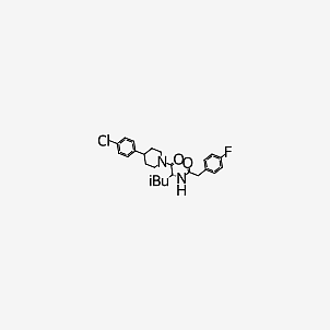 CC[C@H](C)[C@@H](NC(=O)Cc1ccc(F)cc1)C(=O)N1CCC(c2ccc(Cl)cc2)CC1